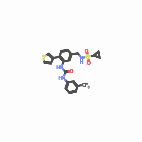 O=C(Nc1cccc(C(F)(F)F)c1)Nc1cc(CNS(=O)(=O)C2CC2)ccc1-c1ccsc1